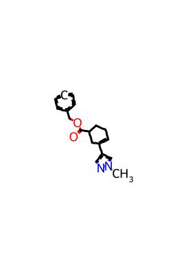 Cn1cc(C2=CCCC(C(=O)OCc3ccccc3)C2)cn1